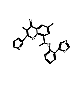 Cc1cc(C(C)Nc2ccccc2-c2cncs2)c2oc(-c3cccnc3)c(C)c(=O)c2c1